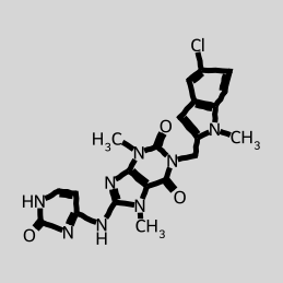 Cn1c(Cn2c(=O)c3c(nc(Nc4cc[nH]c(=O)n4)n3C)n(C)c2=O)cc2cc(Cl)ccc21